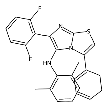 Cc1cccc(C)c1Nc1c(-c2c(F)cccc2F)nc2scc(C3=CC=CCC3)n12